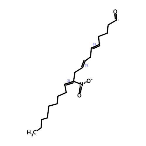 CCCCCCCC/C=C(/C/C=C/C/C=C/CCC[C]=O)[N+](=O)[O-]